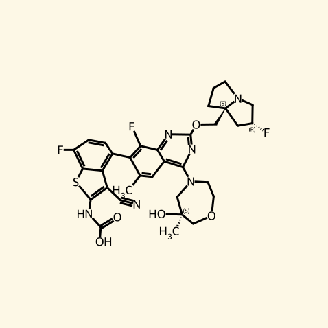 Cc1cc2c(N3CCOC[C@@](C)(O)C3)nc(OC[C@@]34CCCN3C[C@H](F)C4)nc2c(F)c1-c1ccc(F)c2sc(NC(=O)O)c(C#N)c12